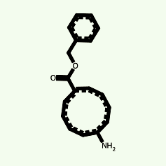 Nc1ccccc(C(=O)OCc2ccccc2)cccc1